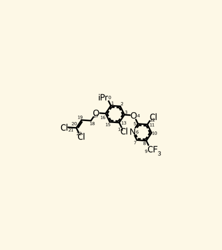 CC(C)c1cc(Oc2ncc(C(F)(F)F)cc2Cl)c(Cl)cc1OCC=C(Cl)Cl